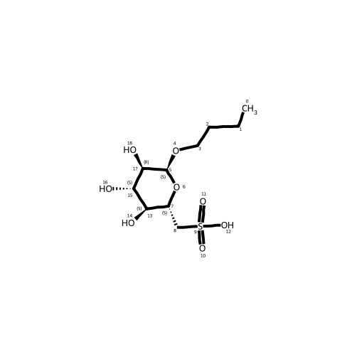 CCCCO[C@H]1O[C@H](CS(=O)(=O)O)[C@@H](O)[C@H](O)[C@H]1O